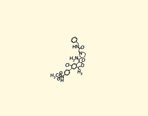 Cc1cc(-c2ccc(NS(C)(=O)=O)cc2)c(Cl)cc1C1=C(N)C2(CCCN(CC(=O)NCc3ccccc3)C2)OC1=O